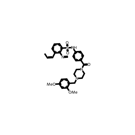 C=Nc1c(/C=C\C)cccc1S(=O)(=O)Nc1ccc(C(=O)N2CCN(Cc3ccc(OC)cc3OC)CC2)cc1